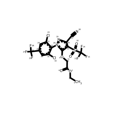 CCOC(=O)COc1c(S(=O)(=O)C(F)(F)F)c(C#N)nn1-c1c(Cl)cc(C(F)(F)F)cc1Cl